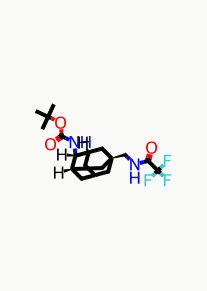 CC(C)(C)OC(=O)N[C@@H]1[C@@H]2CC3C[C@H]1C[C@@](CNC(=O)C(F)(F)F)(C3)C2